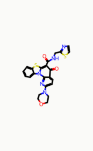 O=C(NCc1nccs1)c1c(=O)c2ccc(N3CCOCC3)nc2n2c1sc1ccccc12